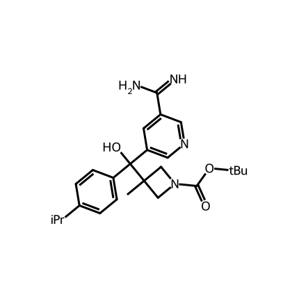 CC(C)c1ccc(C(O)(c2cncc(C(=N)N)c2)C2(C)CN(C(=O)OC(C)(C)C)C2)cc1